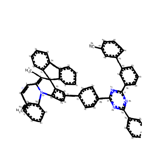 C=C/C=C\C1=C(C)C2(c3ccccc3-c3ccccc32)c2cc(-c3ccc(-c4nc(-c5ccccc5)nc(-c5cccc(-c6cccc(C#N)c6)c5)n4)cc3)ccc2N1c1ccccc1